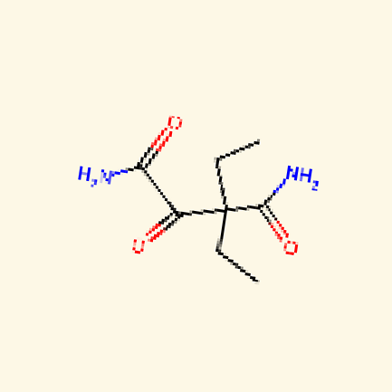 CCC(CC)(C(N)=O)C(=O)C(N)=O